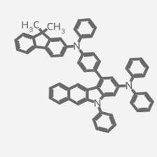 CC1(C)c2ccccc2-c2ccc(N(c3ccccc3)c3ccc(-c4cc(N(c5ccccc5)c5ccccc5)cc5c4c4cc6ccccc6cc4n5-c4ccccc4)cc3)cc21